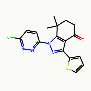 CC1(C)CCC(=O)c2c(-c3cccs3)nn(-c3ccc(Cl)nn3)c21